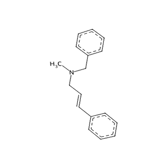 CN(CC=Cc1ccccc1)Cc1ccccc1